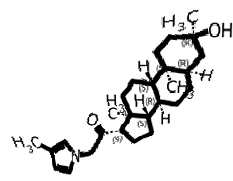 Cc1ccn(CC(=O)[C@H]2CC[C@H]3[C@@H]4CC[C@@H]5C[C@](C)(O)CC[C@]5(C)[C@H]4CC[C@]23C)c1